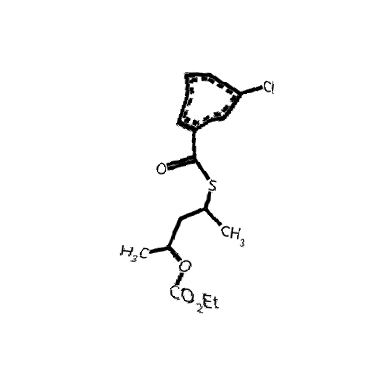 CCOC(=O)OC(C)CC(C)SC(=O)c1cccc(Cl)c1